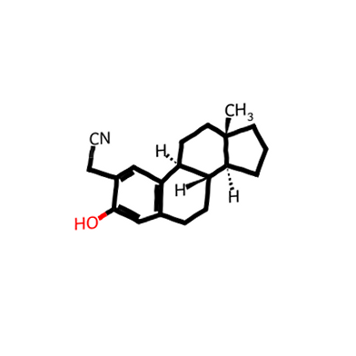 C[C@@]12CCC[C@H]1[C@@H]1CCc3cc(O)c(CC#N)cc3[C@H]1CC2